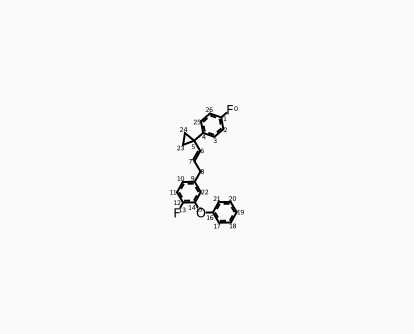 Fc1ccc(C2(C=CCc3ccc(F)c(Oc4ccccc4)c3)CC2)cc1